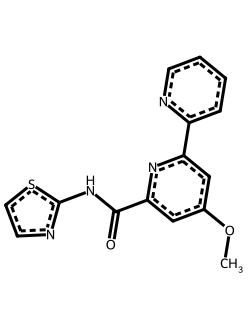 COc1cc(C(=O)Nc2nccs2)nc(-c2ccccn2)c1